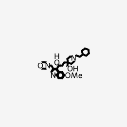 COc1ccc2ncc(CN3CCOCC3)c([C@H](O)CCC3(CO)CCN(CCC4CCCCC4)CC3)c2c1